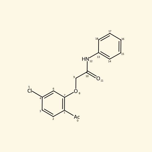 CC(=O)c1ccc(Cl)cc1OCC(=O)Nc1ccccc1